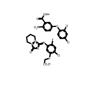 COC(=O)c1cc(Oc2ccc(Cl)cc2Cl)ccc1[N+](=O)[O-].O=C(O)CSc1cc(N=c2sc(=O)n3n2CCCC3)c(F)cc1Cl